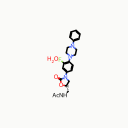 CC(=O)NC[C@H]1CN(c2ccc(N3CCN(c4ccccc4)CC3)c(F)c2)C(=O)O1.O